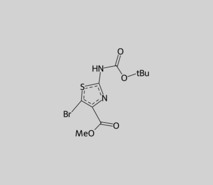 COC(=O)c1nc(NC(=O)OC(C)(C)C)sc1Br